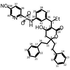 CC[C@@H](C1=C(O)CC(CCc2ccccc2)(CCc2ccccc2)OC1=O)c1cccc(NS(=O)(=O)c2ccc(C#N)cn2)c1